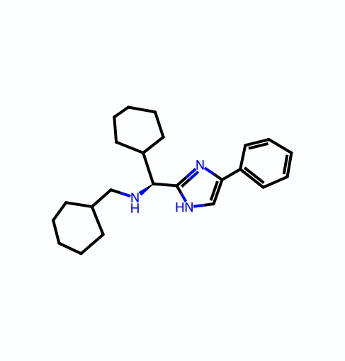 c1ccc(-c2c[nH]c([C@@H](NCC3CCCCC3)C3CCCCC3)n2)cc1